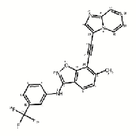 Cc1ccc2c(Nc3cccc(C(F)(F)F)c3)noc2c1C#Cc1cnc2cnccn12